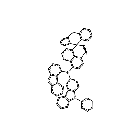 c1ccc(-n2c3ccccc3c3cc(N(c4ccc5c6c(cccc46)C4(c6ccccc6Sc6ccccc64)c4ccccc4-5)c4cccc5sc6ccccc6c45)ccc32)cc1